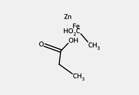 CC(=O)O.CCC(=O)O.[Fe].[Zn]